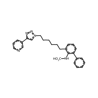 O=C(O)Nc1c(CCCCCCn2cc(-c3cccnc3)nn2)cccc1-c1ccccc1